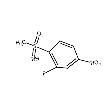 CS(=N)(=O)c1ccc([N+](=O)[O-])cc1F